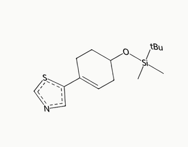 CC(C)(C)[Si](C)(C)OC1CC=C(c2cncs2)CC1